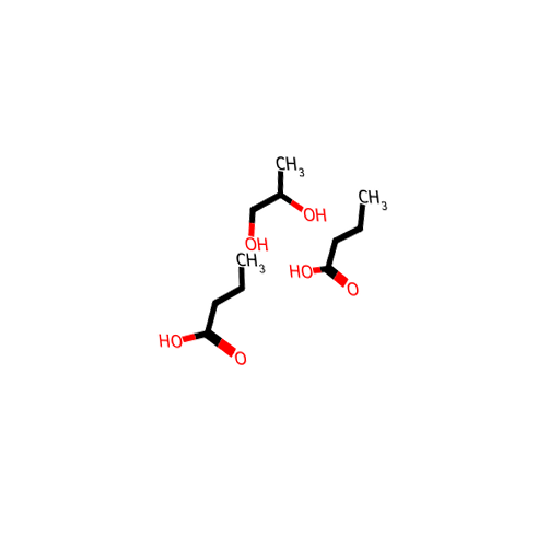 CC(O)CO.CCCC(=O)O.CCCC(=O)O